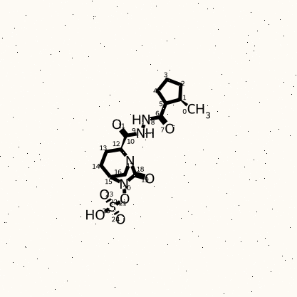 C[C@@H]1CCCC1C(=O)NNC(=O)[C@@H]1CCC2CN1C(=O)N2OS(=O)(=O)O